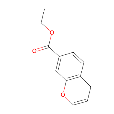 CCOC(=O)c1ccc2c(c1)OC=CC2